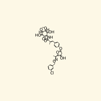 CC(=Cc1ccc(O[C@H]2C[C@@H](O)[C@@H](C(C)=NOCc3cccc(Cl)c3)O2)cc1)C(=O)N[C@@H]1[C@H](O)[C@@H](O)[C@H]2OCO[C@H]2[C@@H]1O